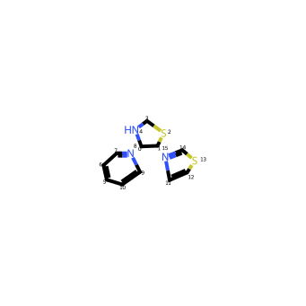 C1CSCN1.c1ccncc1.c1cscn1